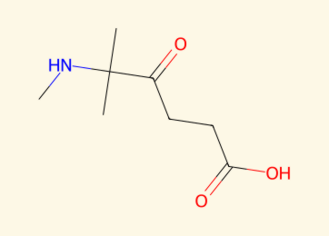 CNC(C)(C)C(=O)CCC(=O)O